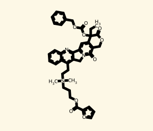 CCC1(OC(=O)OCc2ccccc2)C(=O)OCc2c1cc1n(c2=O)Cc2c-1nc1ccccc1c2CC[Si](C)(C)CCCOC(=O)c1ccco1